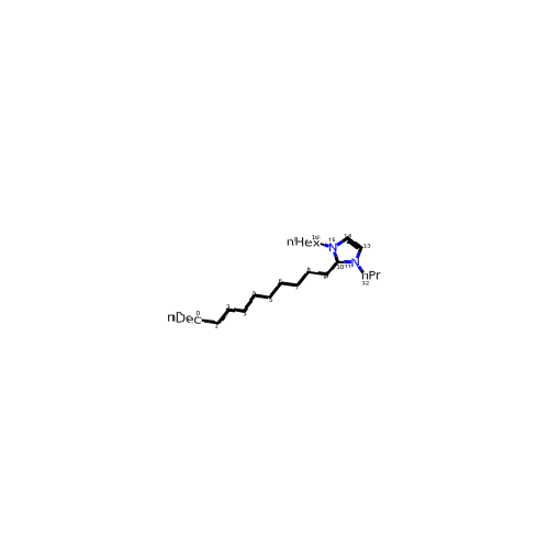 CCCCCCCCCCCCCCCCCCCC1N(CCC)C=CN1CCCCCC